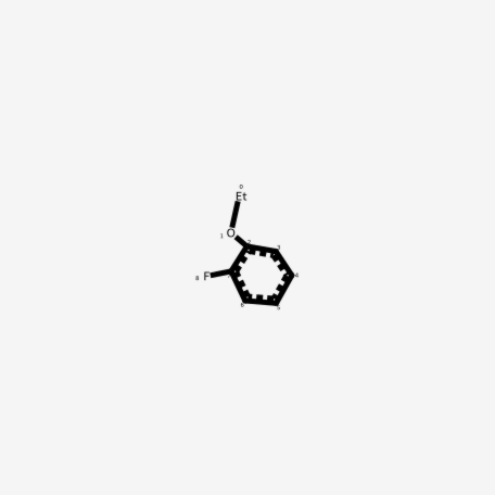 CCOc1c[c]ccc1F